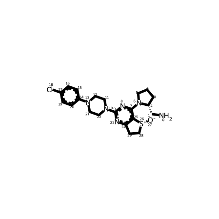 NC[C@H]1CCCN1c1nc(N2CCN(c3ccc(Cl)cc3)CC2)nc2c1[S+]([O-])CC2